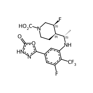 C[C@H](Nc1cc(-c2n[nH]c(=O)o2)cc(F)c1C(F)(F)F)[C@H]1CCN(C(=O)O)C[C@H]1F